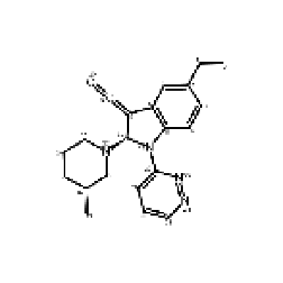 CCc1ccc2c(c1)C(=C=O)[C@H](N1CCC[C@H](C)C1)N2c1cccnn1